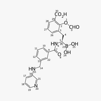 O=COc1c(C[C@H](NC(=O)c2cccc(CNc3cccnc3)c2)B(O)O)cccc1C(=O)O